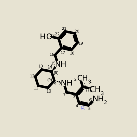 CC(C)=C(/C=C\N)CN[C@@H]1CCCC[C@H]1NCc1ccccc1O